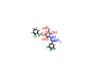 N/C(=C\NC1C(O)C(CO)OC(SCCc2ccccc2Cl)C1O)c1cc(F)c(F)c(F)c1